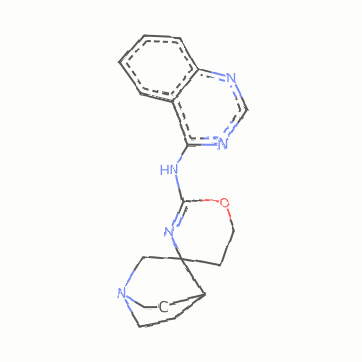 c1ccc2c(NC3=NC4(CCO3)CN3CCC4CC3)ncnc2c1